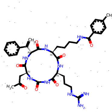 C=C(c1ccccc1)[C@H]1NC(=O)[C@H](CC(C)=O)NC(=O)NC(=O)[C@H](CCCNC(=N)N)NC(=O)[C@H](CCCCNC(=O)c2ccc(C)cc2)NC1=O